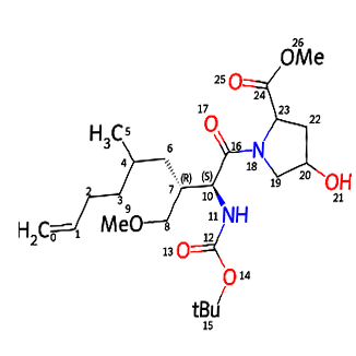 C=CCCC(C)C[C@@H](COC)[C@H](NC(=O)OC(C)(C)C)C(=O)N1CC(O)CC1C(=O)OC